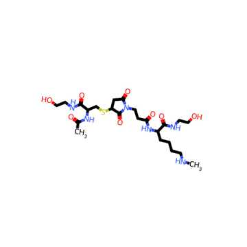 CNCCCCC(NC(=O)CCN1C(=O)CC(SCC(NC(C)=O)C(=O)NCCO)C1=O)C(=O)NCCO